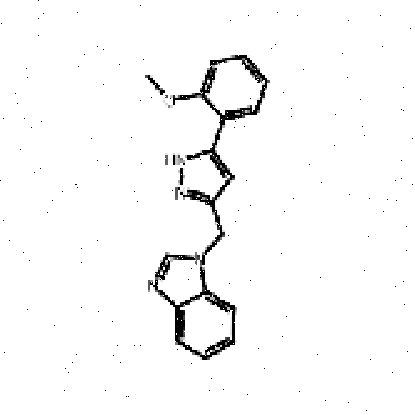 COc1ccccc1-c1cc(Cn2cnc3ccccc32)n[nH]1